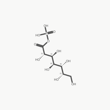 O=C(OP(=O)(O)O)[C@@H](O)[C@@H](O)[C@H](O)[C@H](O)[C@@H](O)CO